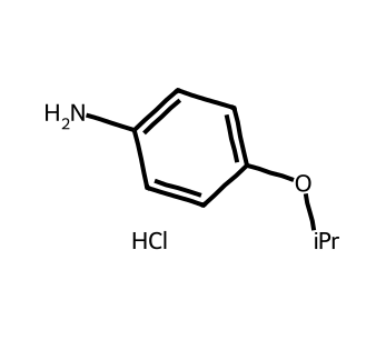 CC(C)Oc1ccc(N)cc1.Cl